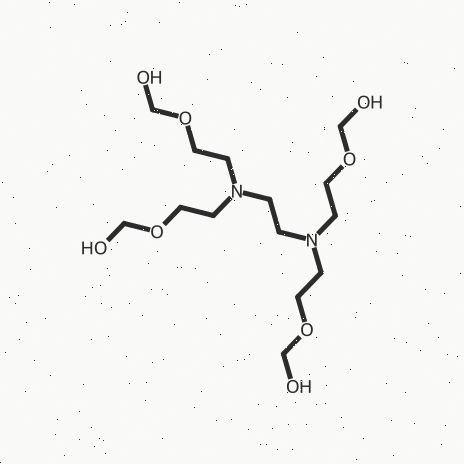 OCOCCN(CCOCO)CCN(CCOCO)CCOCO